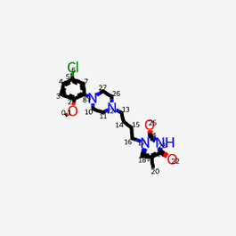 COc1ccc(Cl)cc1N1CCN(CCCCn2cc(C)c(=O)[nH]c2=O)CC1